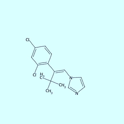 CC(C)(C)C(=Cn1ccnc1)c1ccc(Cl)cc1Cl